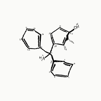 NC(c1ccccc1)(c1ccccc1)c1ccc(O)cc1